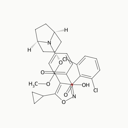 COc1cc(N2[C@@H]3CC[C@H]2C[C@H](OC(=O)c2c(-c4c(Cl)cccc4Cl)noc2C2CC2)C3)ccc1C(=O)O